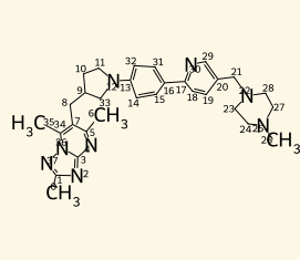 Cc1nc2nc(C)c(CC3CCN(c4ccc(-c5ccc(CN6CCN(C)CC6)cn5)cc4)C3)c(C)n2n1